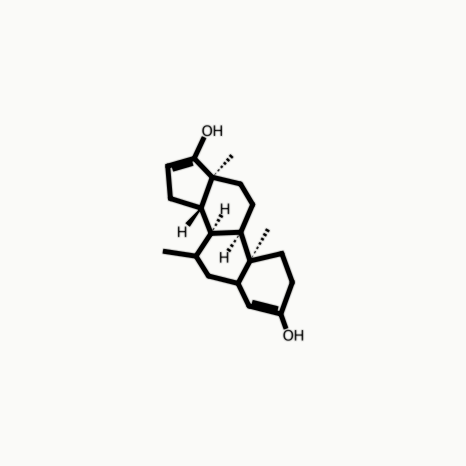 CC1CC2C=C(O)CC[C@]2(C)[C@@H]2CC[C@]3(C)C(O)=CC[C@H]3[C@H]12